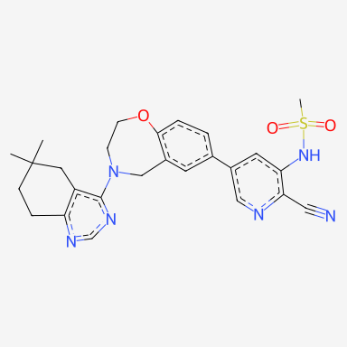 CC1(C)CCc2ncnc(N3CCOc4ccc(-c5cnc(C#N)c(NS(C)(=O)=O)c5)cc4C3)c2C1